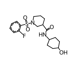 O=C(NC1CCC(O)CC1)C1CCCN(S(=O)(=O)c2ccccc2F)C1